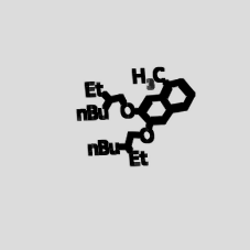 CCCCC(CC)COc1cc2cccc(C)c2cc1OCC(CC)CCCC